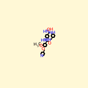 COc1cc(C(Nc2ccc(C(=N)NO)cc2)C(=O)NCc2ccccc2)ccc1OCc1ccncc1